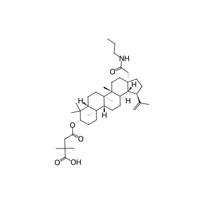 C=C(C)[C@@H]1CC[C@]2(CC(=O)NCCC)CC[C@]3(C)[C@H](CC[C@@H]4[C@@]5(C)CC[C@H](OC(=O)CC(C)(C)C(=O)O)C(C)(C)[C@@H]5CC[C@]43C)[C@@H]12